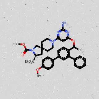 CCOC(=O)[C@@H]1CC2(CCN(c3cc(OC(c4ccc(-c5ccc(OC(C)C)cc5)cc4-c4ccccc4)C(F)(F)F)nc(N)n3)CC2)CN1C(=O)OC(C)(C)C